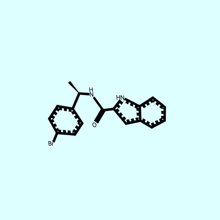 C[C@@H](NC(=O)c1cc2ccccc2[nH]1)c1ccc(Br)cc1